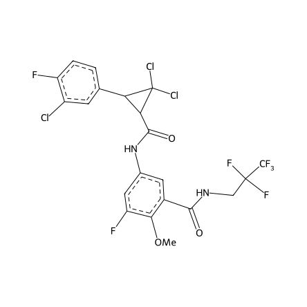 COc1c(F)cc(NC(=O)C2C(c3ccc(F)c(Cl)c3)C2(Cl)Cl)cc1C(=O)NCC(F)(F)C(F)(F)F